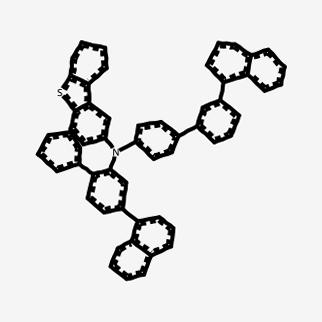 c1ccc(-c2ccc(-c3cccc4ccccc34)cc2N(c2ccc(-c3cccc(-c4cccc5ccccc45)c3)cc2)c2ccc3sc4ccccc4c3c2)cc1